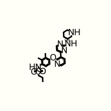 CCCS(=O)(=O)Nc1ccc(Oc2ncccc2-c2ccnc(N[C@H]3CCCNC3)n2)c(C)c1C